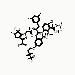 CNc1c(-n2c(C(Cc3cc(F)cc(F)c3)NC(=O)Cn3nc(C(F)F)c4c3C(F)(F)[C@@H](C)C4)nc3cc(OCCC(C)(C)C(F)(F)F)ccc3c2=O)ccc(Cl)c1C(=N)N[S+](C)[O-]